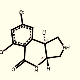 CCc1cc(Cl)c2c(c1)[C@H]1CNC[C@@H]1NC2=O